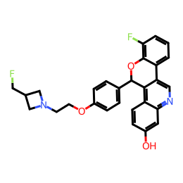 Oc1ccc2c3c(cnc2c1)-c1cccc(F)c1OC3c1ccc(OCCN2CC(CF)C2)cc1